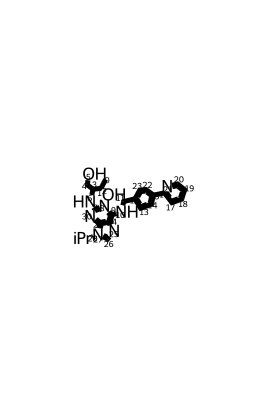 CC(O)C(CO)Nc1nc(NCc2ccc(-c3ccccn3)cc2)c2ncn(C(C)C)c2n1